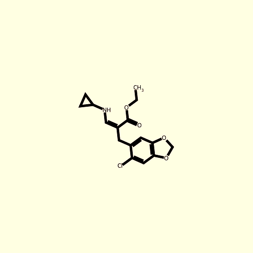 CCOC(=O)C(=CNC1CC1)Cc1cc2c(cc1Cl)OCO2